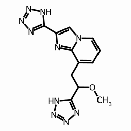 COC(Cc1cccn2cc(-c3nnn[nH]3)nc12)c1nnn[nH]1